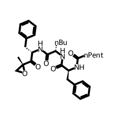 CCCCCC(=O)N[C@@H](Cc1ccccc1)C(=O)N[C@@H](CCCC)C(=O)N[C@@H](Cc1ccccc1)C(=O)[C@@]1(C)CO1